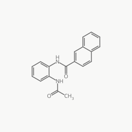 CC(=O)Nc1ccccc1NC(=O)c1ccc2ccccc2c1